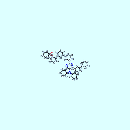 c1ccc(-c2cccc(-c3nc(-c4cccc(-c5cccc(-c6cccc7c6oc6ccccc67)c5)c4)nc4c5ccccc5n(-c5ccccc5)c34)c2)cc1